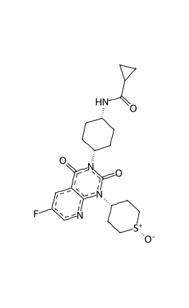 O=C(N[C@H]1CC[C@@H](n2c(=O)c3cc(F)cnc3n([C@H]3CC[S@@+]([O-])CC3)c2=O)CC1)C1CC1